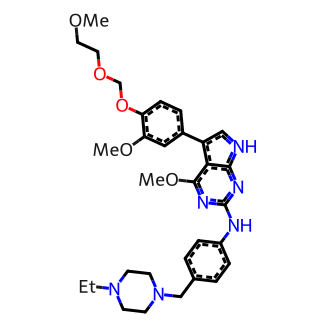 CCN1CCN(Cc2ccc(Nc3nc(OC)c4c(-c5ccc(OCOCCOC)c(OC)c5)c[nH]c4n3)cc2)CC1